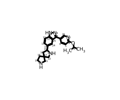 CC(C)Oc1ccc(-c2n[nH]c3ccc(C4CC5(CCNC5)CN4)cc23)cn1